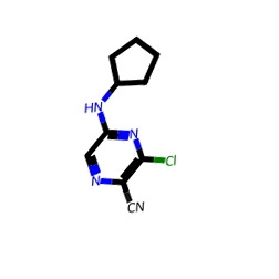 N#Cc1ncc(NC2CCCC2)nc1Cl